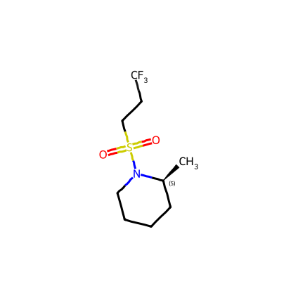 C[C@H]1CCCCN1S(=O)(=O)CCC(F)(F)F